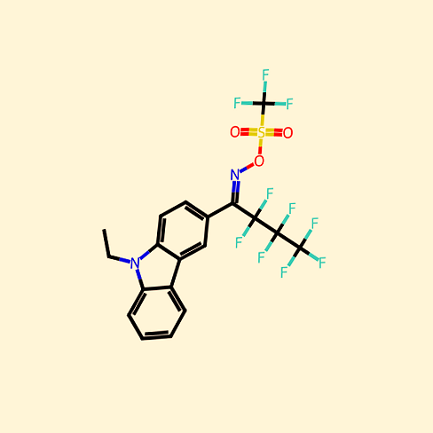 CCn1c2ccccc2c2cc(C(=NOS(=O)(=O)C(F)(F)F)C(F)(F)C(F)(F)C(F)(F)F)ccc21